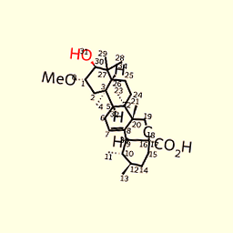 CO[C@H]1C[C@]2(C)[C@H]3CC=C4[C@@H]5[C@@H](C)[C@H](C)CC[C@]5(C(=O)O)CC[C@@]4(C)[C@]3(C)CC[C@H]2C(C)(C)[C@@H]1O